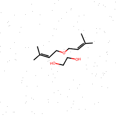 CC(C)=CCOCC=C(C)C.OCCO